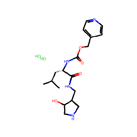 CC(C)C[C@H](NC(=O)OCc1ccncc1)C(=O)NCC1CNCC1O.Cl.Cl